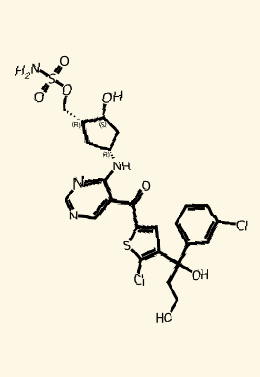 NS(=O)(=O)OC[C@H]1C[C@@H](Nc2ncncc2C(=O)c2cc(C(O)(CCO)c3cccc(Cl)c3)c(Cl)s2)C[C@@H]1O